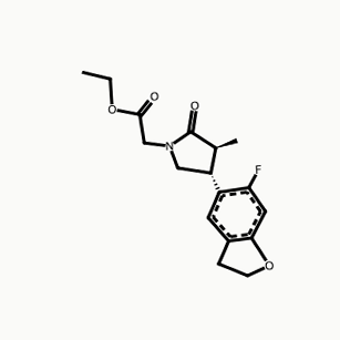 CCOC(=O)CN1C[C@@H](c2cc3c(cc2F)OCC3)[C@H](C)C1=O